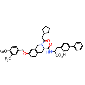 COc1ccc(COc2ccc3c(c2)CN(C(=O)CC2CCCC2)[C@H](C(=O)N[C@@H](Cc2ccc(-c4ccccc4)cc2)C(=O)O)C3)cc1C(F)(F)F